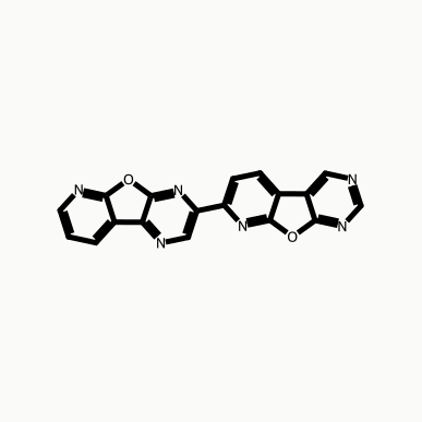 c1cnc2oc3nc(-c4ccc5c(n4)oc4ncncc45)cnc3c2c1